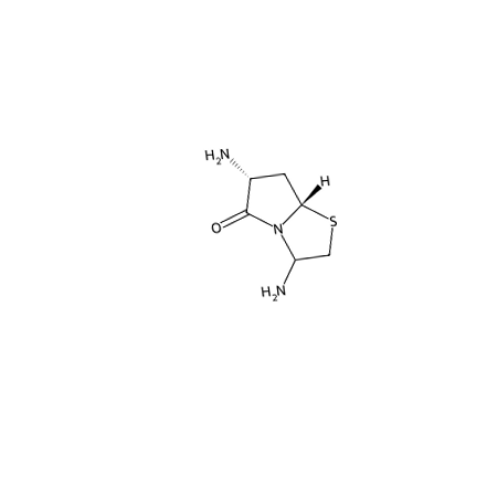 NC1CS[C@H]2C[C@@H](N)C(=O)N12